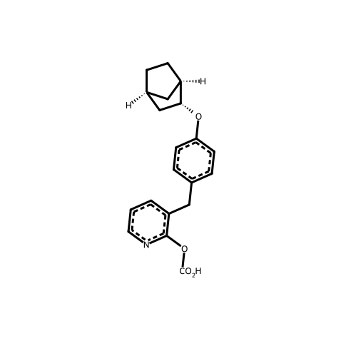 O=C(O)Oc1ncccc1Cc1ccc(O[C@@H]2C[C@H]3CC[C@@H]2C3)cc1